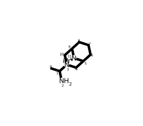 CC(N)N1CC2CCCC(C1)N2C(C)C